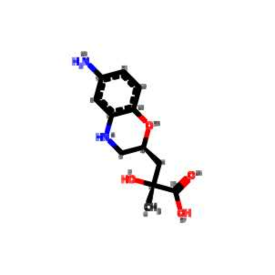 C[C@@](O)(C[C@H]1CNc2cc(N)ccc2O1)C(=O)O